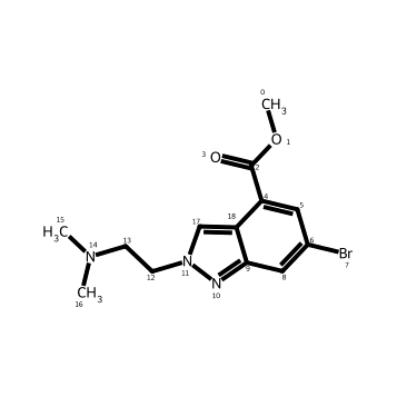 COC(=O)c1cc(Br)cc2nn(CCN(C)C)cc12